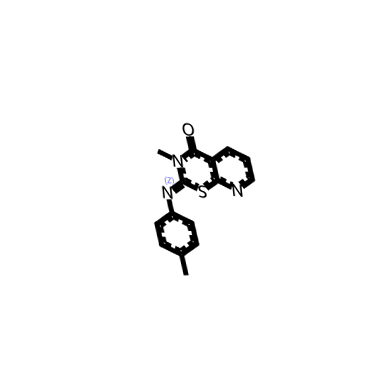 Cc1ccc(/N=c2\sc3ncccc3c(=O)n2C)cc1